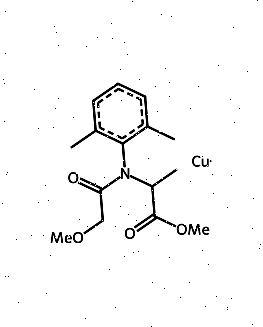 COCC(=O)N(c1c(C)cccc1C)C(C)C(=O)OC.[Cu]